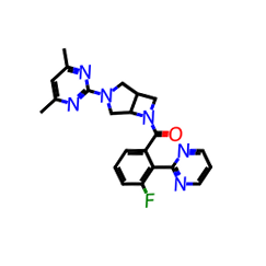 Cc1cc(C)nc(N2CC3CN(C(=O)c4cccc(F)c4-c4ncccn4)C3C2)n1